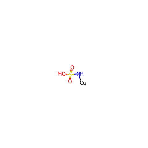 O=S(=O)(O)[NH][Cu]